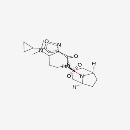 CN(C)C1CCN(S(=O)(=O)N2[C@@H]3CC[C@H]2C[C@@H](NC(=O)c2cc(C4CC4)on2)C3)CC1